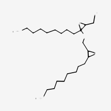 CCCCCCCCCCCCCCCCCCC1OC1COC1(CCCCCCCCCCCCCCCCCC)OC1CO